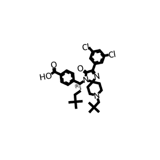 CC(C)(C)CC[C@H](c1ccc(C(=O)O)cc1)N1C(=O)C(c2cc(Cl)cc(Cl)c2)=NC12CCN(CC(C)(C)C)CC2